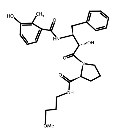 COCCCNC(=O)[C@@H]1CCCN1C(=O)[C@@H](O)[C@H](Cc1ccccc1)NC(=O)c1cccc(O)c1C